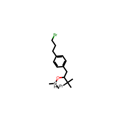 CC(C)C(C)(C)C(Cc1ccc(CCCBr)cc1)O[SiH](C)C